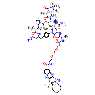 CC[C@H](C)[C@@H]([C@@H](CC(=O)N1CCC[C@H]1[C@H](OC)[C@@H](C)C(=O)N[C@H](CN=[N+]=[N-])Cc1ccc(NC(=O)C(CCCNC(N)=O)NC(=O)[C@@H](NC(=O)CCOCCOCCNC(=O)c2ccc3nc4c(nc3c2)CC2(N)C3CCCCCCC(C3)C2(C)C4)C(C)C)cc1)OC)N(C)C(=O)[C@@H](NC(=O)[C@H](C(C)C)N(C)C)C(C)C